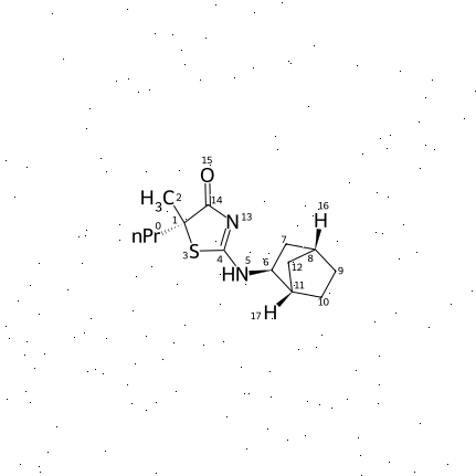 CCC[C@@]1(C)SC(N[C@H]2C[C@@H]3CC[C@H]2C3)=NC1=O